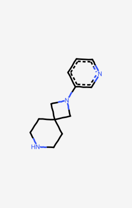 c1cncc(N2CC3(CCNCC3)C2)c1